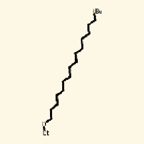 CCOCCCCCCCCCCCCCCCC(C)(C)C